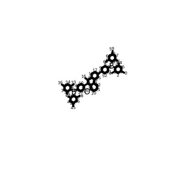 Cc1cc(C)c(B(c2ccc(-c3ccc4c(C)c5c6c(cccc6c4c3)Oc3cc(B(c4c(C)cc(C)cc4C)c4c(C)cc(C)cc4C)ccc3-5)cc2)c2c(C)cc(C)cc2C)c(C)c1